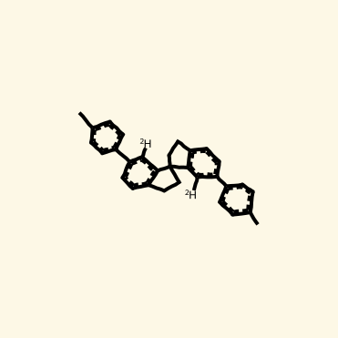 [2H]c1c(-c2ccc(C)cc2)ccc2c1C1(CC2)CCc2ccc(-c3ccc(C)cc3)c([2H])c21